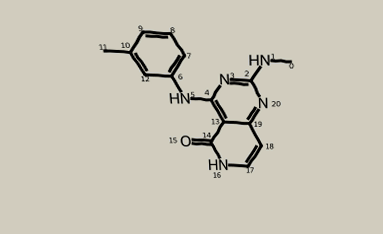 CNc1nc(Nc2cccc(C)c2)c2c(=O)[nH]ccc2n1